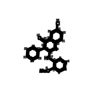 COc1ccncc1Nc1nc2ccc(Cl)cc2c(=O)n1-c1ccccc1